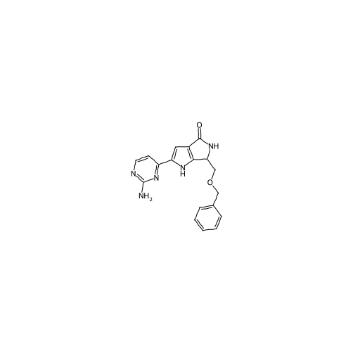 Nc1nccc(-c2cc3c([nH]2)C(COCc2ccccc2)NC3=O)n1